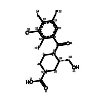 O=C(O)N1CCN(C(=O)c2cc(F)c(I)c(Cl)c2F)[C@H](CO)C1